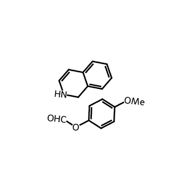 C1=Cc2ccccc2CN1.COc1ccc(OC=O)cc1